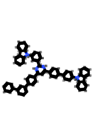 c1ccc(-c2cccc(-c3ccc(-c4cc(-c5ccc(-c6ccc(-n7c8ccccc8c8ccccc87)cc6)cc5)nc(-c5cccc(-n6c7ccccc7c7ccccc76)c5)n4)cc3)c2)cc1